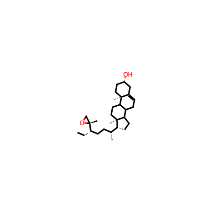 CC[C@@H](CC[C@@H](C)[C@H]1CCC2C3CC=C4C[C@@H](O)CC[C@]4(C)C3CC[C@@]21C)[C@@]1(C)CO1